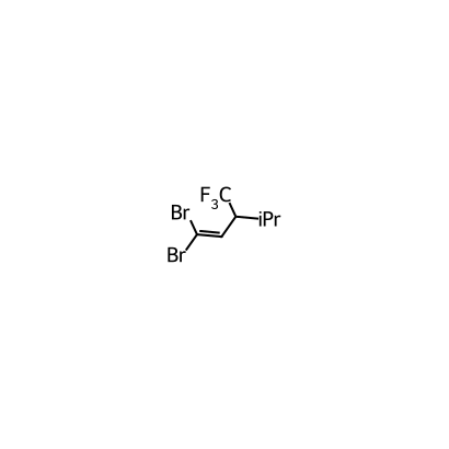 CC(C)C(C=C(Br)Br)C(F)(F)F